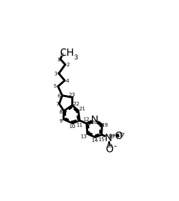 CCCCCCC1Cc2ccc(-c3ccc([N+](=O)[O-])cn3)cc2C1